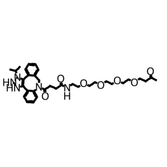 CC(=O)CCOCCOCCOCCOCCNC(=O)CCC(=O)N1Cc2ccccc2C2=C(NNN2C(C)C)c2ccccc21